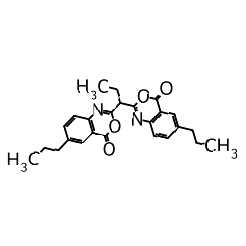 CCCc1ccc2nc(C(CC)c3nc4ccc(CCC)cc4c(=O)o3)oc(=O)c2c1